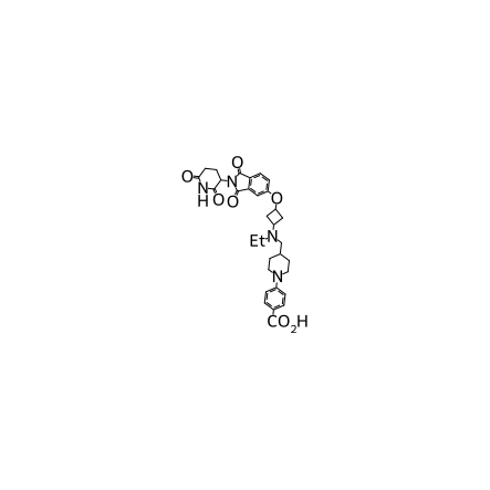 CCN(CC1CCN(c2ccc(C(=O)O)cc2)CC1)C1CC(Oc2ccc3c(c2)C(=O)N(C2CCC(=O)NC2=O)C3=O)C1